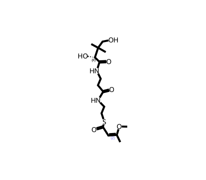 CO/C(C)=C\C(=O)SCCNC(=O)CCNC(=O)[C@H](O)C(C)(C)CO